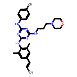 Cc1cc(/C=C/C#N)cc(C)c1Nc1nc(NCCCN2CCOCC2)nc(Nc2ccc(C#N)cc2)n1